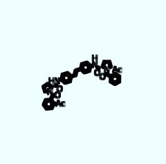 CC(=O)c1ccccc1C(=O)N1CCC[C@H]1C(=O)Nc1ccc(/C=C/c2ccc(NC(=O)[C@@H]3CCCN3C(=O)c3ccccc3C(C)=O)cc2)cc1